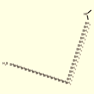 B.B.B.B.B.B.B.B.B.B.B.B.B.B.B.B.B.B.B.B.B.B.B.B.B.B.B.B.B.B.B.B.B.CPC